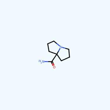 NC(=O)C12CCCN1CCC2